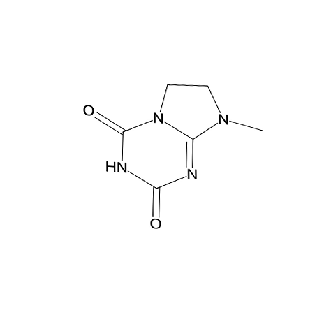 CN1CCn2c1nc(=O)[nH]c2=O